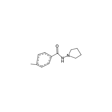 Cc1ccc(C(=O)NN2CCCC2)cc1